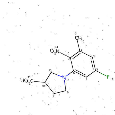 Cc1cc(F)cc(N2CCC(C(=O)O)C2)c1[N+](=O)[O-]